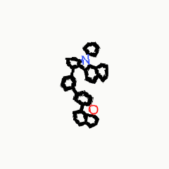 c1ccc(-n2c3cccc(-c4cccc(-c5ccc6c(c5)-c5cccc7cccc(c57)O6)c4)c3c3ccc4ccccc4c32)cc1